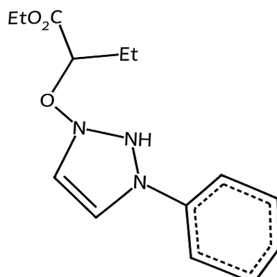 CCOC(=O)C(CC)ON1C=CN(c2ccccc2)N1